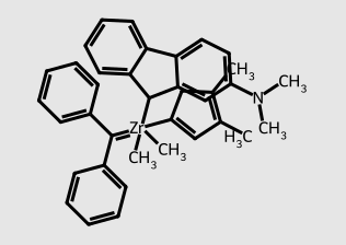 CC1=C(C)C[C]([Zr]([CH3])([CH3])(=[C](c2ccccc2)c2ccccc2)[CH]2c3ccccc3-c3ccc(N(C)C)cc32)=C1